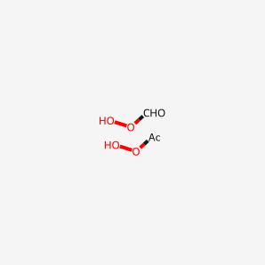 CC(=O)OO.O=COO